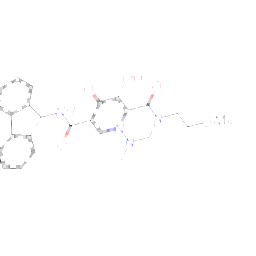 COCCN1CN(C)n2cc(C(=O)NC3c4ccccc4-c4ccccc43)c(=O)c(O)c2C1=O